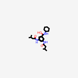 CC(C)CC(=O)Nc1cc(NC(=O)CC(C)C)cc(C(O)NC2CCCCC2)c1